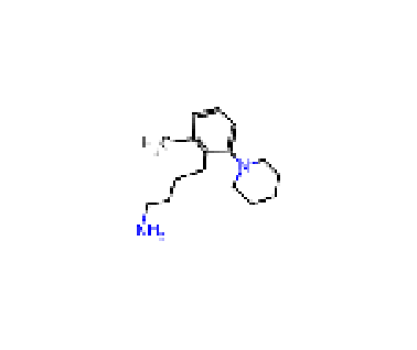 Cc1cccc(N2CCCCC2)c1CCCCN